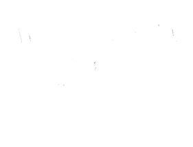 C=C1CC1N(C(=O)C(F)C(F)(F)F)c1ccccc1